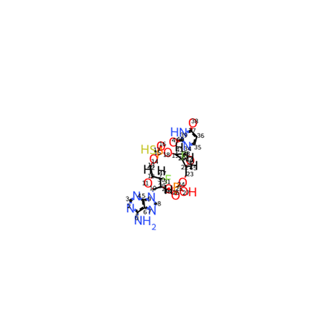 Nc1ncnc2c1ncn2[C@@H]1O[C@@H]2CO[P@@](=O)(S)O[C@@H]3[C@H](F)[C@@H](COP(=O)(O)O[C@@H]1[C@@H]2F)O[C@H]3n1ccc(=O)[nH]c1=O